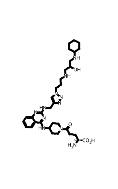 N[C@@H](CCC(=O)N1CCC(Nc2nc(NCc3cn(CCCNCC(O)CNC4CCCCC4)nn3)nc3ccccc23)CC1)C(=O)O